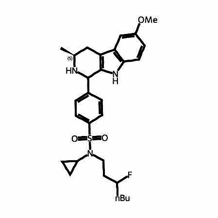 CCCCC(F)CCN(C1CC1)S(=O)(=O)c1ccc(C2N[C@@H](C)Cc3c2[nH]c2ccc(OC)cc32)cc1